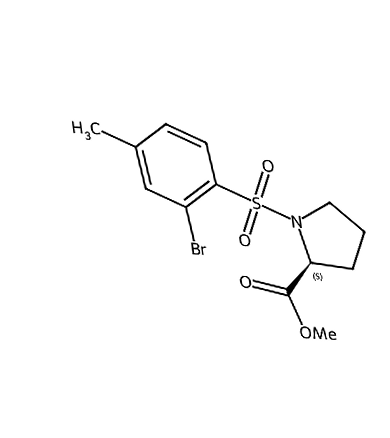 COC(=O)[C@@H]1CCCN1S(=O)(=O)c1ccc(C)cc1Br